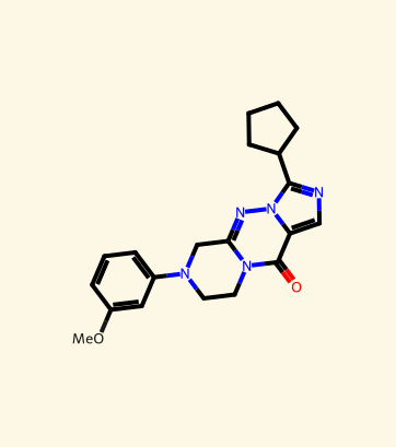 COc1cccc(N2CCn3c(nn4c(C5CCCC5)ncc4c3=O)C2)c1